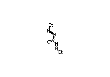 CCN=[N][V](=[O])[N]=NCC